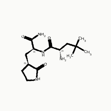 CC(C)(C)C[C@H](N)C(=O)N[C@@H](C[C@@H]1CCNC1=O)C(N)=O